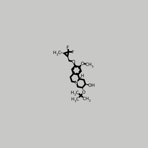 COc1cc2c(cc1OC[C@H]1[C@H](C)C1(F)F)CCN1C[C@@H](OC(C)(C)C)[C@H](O)C[C@H]21